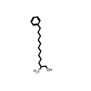 CC(CO)CCCCCCCCCCc1ccccc1